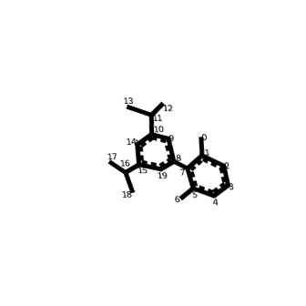 Cc1cccc(C)c1-c1cc(C(C)C)[c]c(C(C)C)c1